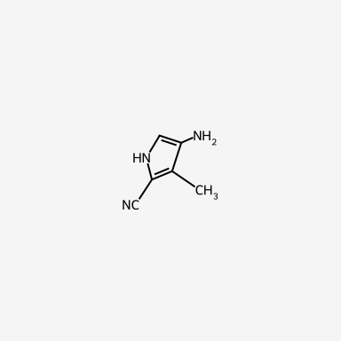 Cc1c(N)c[nH]c1C#N